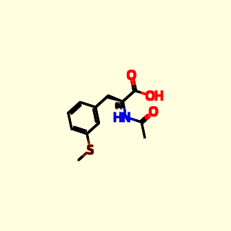 CSc1cccc(C[C@H](NC(C)=O)C(=O)O)c1